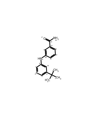 CC(C)(C)c1cncc(Nc2cccc(C(N)=O)c2)c1